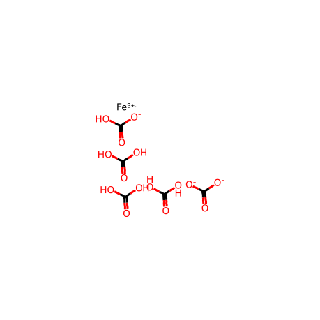 O=C(O)O.O=C(O)O.O=C(O)O.O=C([O-])O.O=C([O-])[O-].[Fe+3]